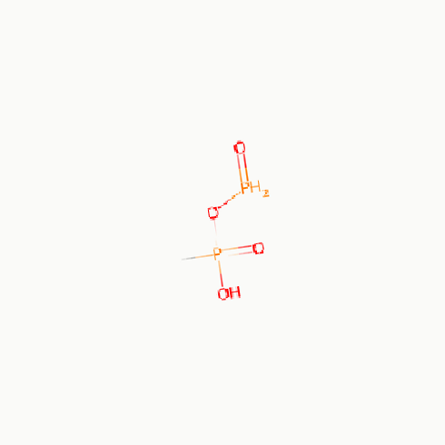 CP(=O)(O)O[PH2]=O